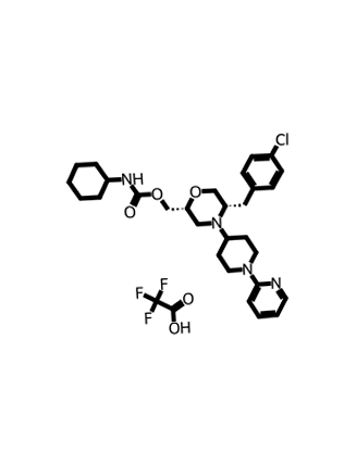 O=C(NC1CCCCC1)OC[C@H]1CN(C2CCN(c3ccccn3)CC2)[C@@H](Cc2ccc(Cl)cc2)CO1.O=C(O)C(F)(F)F